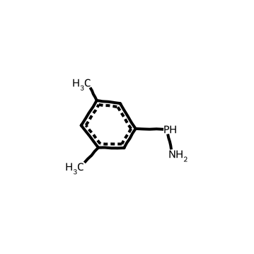 Cc1cc(C)cc(PN)c1